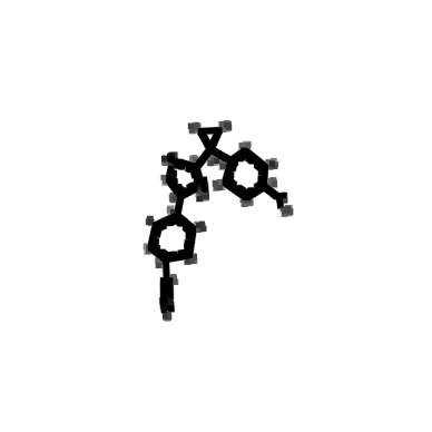 N#Cc1ccc(-c2csc(C3(c4ccc(F)cc4)CC3)n2)cc1